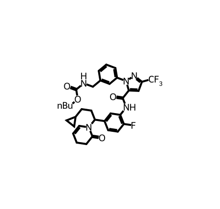 CCCCOC(=O)NCc1cccc(-n2nc(C(F)(F)F)cc2C(=O)Nc2cc(C(CCC3CC3)N3C=CCCC3=O)ccc2F)c1